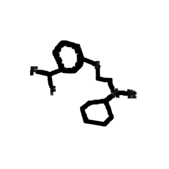 CCN(CCSc1cccc(C(F)F)c1)C1CCCCC1